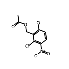 CC(=O)OCc1c(Cl)ccc([N+](=O)[O-])c1Cl